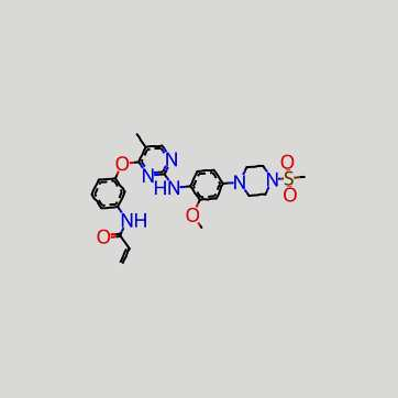 C=CC(=O)Nc1cccc(Oc2nc(Nc3ccc(N4CCN(S(C)(=O)=O)CC4)cc3OC)ncc2C)c1